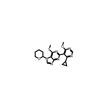 COc1ncnc(C2CC2)c1-c1nc(SC)c2c(ncn2C2CCCCO2)n1